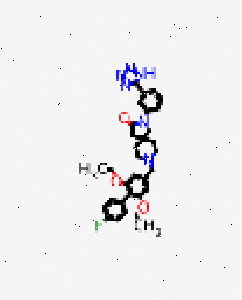 CCOc1cc(CN2CCC3(CC2)CC(=O)N(c2cccc(-c4nnn[nH]4)c2)C3)cc(OCC)c1-c1ccc(F)cc1